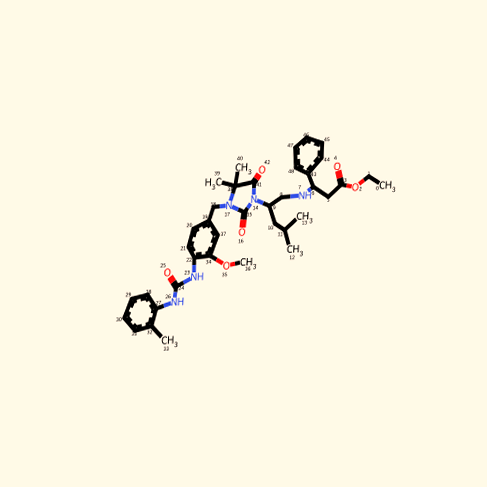 CCOC(=O)CC(NCC(CC(C)C)N1C(=O)N(Cc2ccc(NC(=O)Nc3ccccc3C)c(OC)c2)C(C)(C)C1=O)c1ccccc1